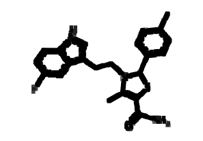 CC1=C(C(N)=O)SC(c2ccc(C)cc2)N1CCc1c[nH]c2ccc(F)cc12